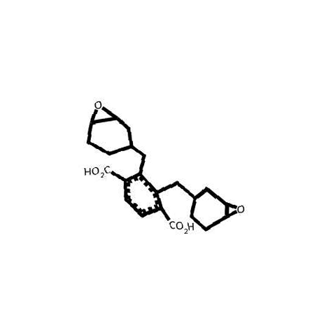 O=C(O)c1ccc(C(=O)O)c(CC2CCC3OC3C2)c1CC1CCC2OC2C1